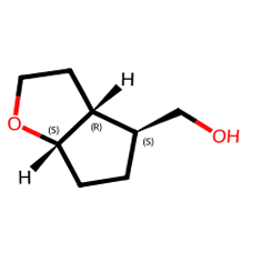 OC[C@H]1CC[C@@H]2OCC[C@H]12